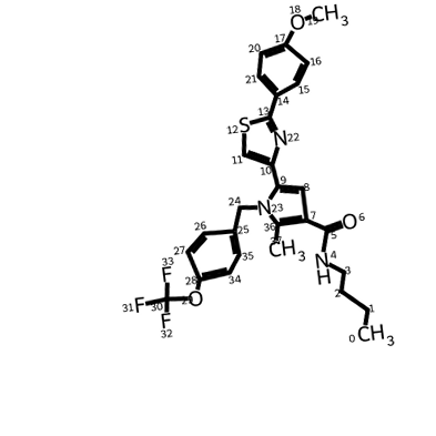 CCCCNC(=O)c1cc(-c2csc(-c3ccc(OC)cc3)n2)n(Cc2ccc(OC(F)(F)F)cc2)c1C